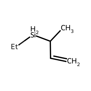 C=CC(C)[SiH2]CC